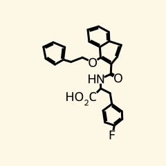 O=C(NC(Cc1ccc(F)cc1)C(=O)O)c1ccc2ccccc2c1OCCc1ccccc1